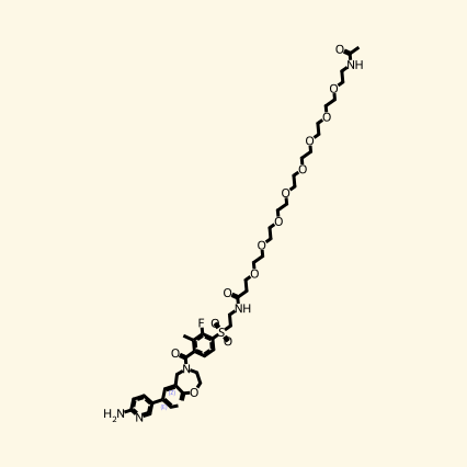 C=C1OCCN(C(=O)c2ccc(S(=O)(=O)CCNC(=O)CCOCCOCCOCCOCCOCCOCCOCCOCCNC(C)=O)c(F)c2C)C/C1=C/C(=C\C)c1ccc(N)nc1